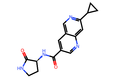 O=C(N[C@H]1CCNC1=O)c1cnc2cc(C3CC3)ncc2c1